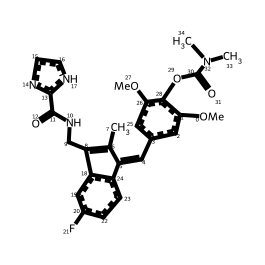 COc1cc(C=C2C(C)=C(CNC(=O)c3ncc[nH]3)c3cc(F)ccc32)cc(OC)c1OC(=O)N(C)C